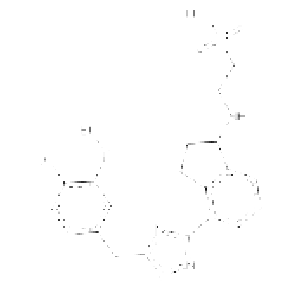 CCOc1cc(Cc2nc(-c3cccc4c3CCC4NCCS(C)(=O)=O)no2)ccc1C